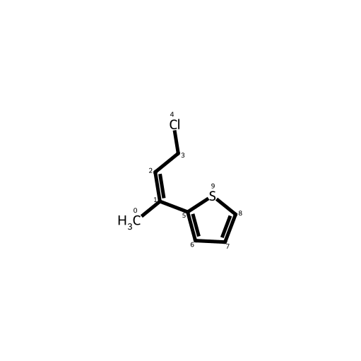 C/C(=C/CCl)c1cccs1